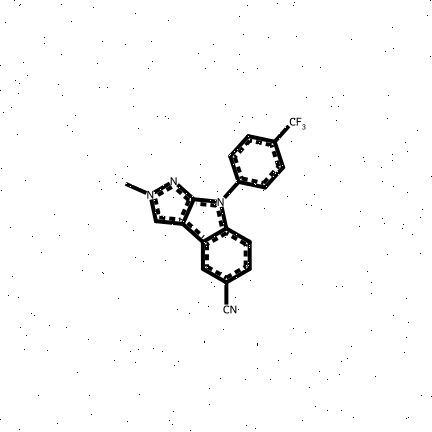 Cn1cc2c3cc(C#N)ccc3n(-c3ccc(C(F)(F)F)cc3)c2n1